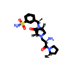 C[C@@H](c1cccc(S(N)(=O)=O)c1)N1C(=O)[C@@H]2C[C@H]1CN2C[C@H](N)C(=O)N1CCC[C@H]1C#N